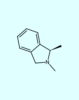 C[C@@H]1c2ccccc2CN1C